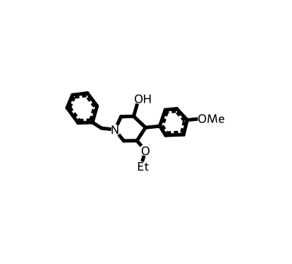 CCOC1CN(Cc2ccccc2)CC(O)C1c1ccc(OC)cc1